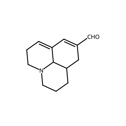 O=CC1=CC2=CCCN3CCCC(C1)C23